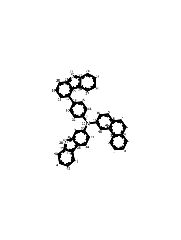 c1ccc2c(c1)ccc1ccc(N(c3ccc(-c4cccc5sc6ccccc6c45)cc3)c3ccc4c(c3)sc3ccccc34)cc12